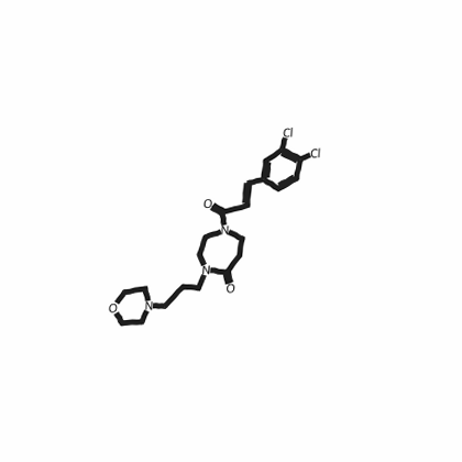 O=C(/C=C/c1ccc(Cl)c(Cl)c1)N1CCC(=O)N(CCCN2CCOCC2)CC1